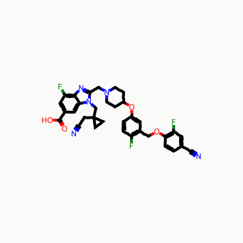 N#CCC1(Cn2c(CN3CCC(Oc4ccc(F)c(COc5ccc(C#N)cc5F)c4)CC3)nc3c(F)cc(C(=O)O)cc32)CC1